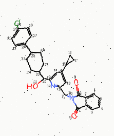 O=C1c2ccccc2C(=O)N1Cc1cc(C2CC2)cc(C(O)C2CCC(c3ccc(Cl)cc3)CC2)n1